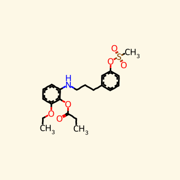 CCOc1cccc(NCCCc2cccc(OS(C)(=O)=O)c2)c1OC(=O)CC